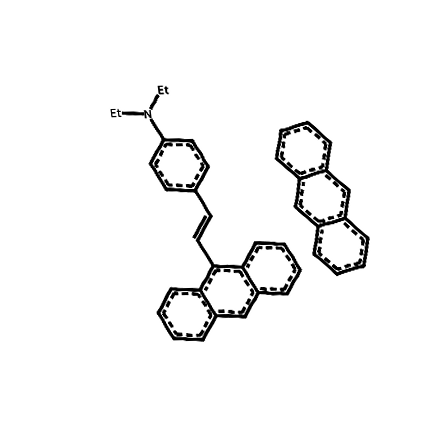 CCN(CC)c1ccc(C=Cc2c3ccccc3cc3ccccc23)cc1.c1ccc2cc3ccccc3cc2c1